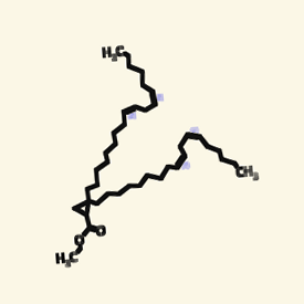 CCCCC/C=C\C/C=C\CCCCCCCCC1(CCCCCCCC/C=C\C/C=C\CCCCC)CC1C(=O)OCC